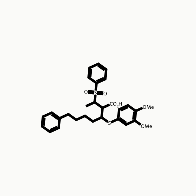 COc1ccc(SC(CCCCc2ccccc2)C(C(=O)O)C(C)S(=O)(=O)c2ccccc2)cc1OC